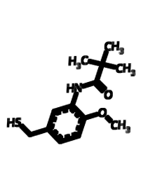 COc1ccc(CS)cc1NC(=O)C(C)(C)C